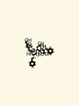 CC(C)C[C@H](NC(=O)[C@H](CCc1ccccc1)NC(=O)Cc1cc(CO)on1)C(=O)N[C@@H](Cc1ccccc1)C(=O)O